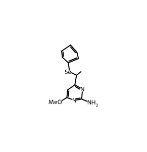 COc1cc(C(C)[Se]c2ccccc2)nc(N)n1